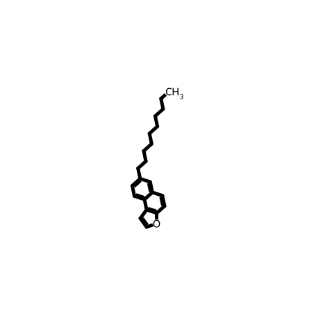 CCCCCCCCCCc1ccc2c(ccc3occc32)c1